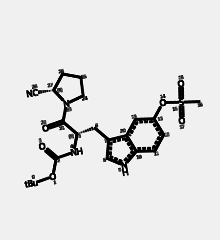 CC(C)(C)OC(=O)N[C@@H](Cc1c[nH]c2ccc(OS(C)(=O)=O)cc12)C(=O)N1CCC[C@H]1C#N